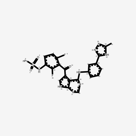 CCCS(=O)(=O)Nc1ccc(F)c(C(=O)c2c[nH]c3ncnc(Nc4cccc(-c5nnc(C)[nH]5)c4)c23)c1F